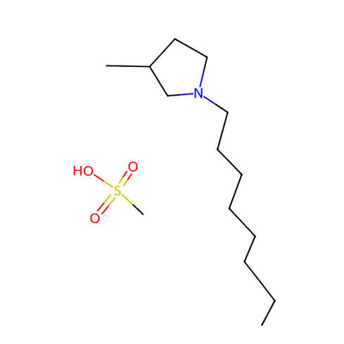 CCCCCCCCN1CCC(C)C1.CS(=O)(=O)O